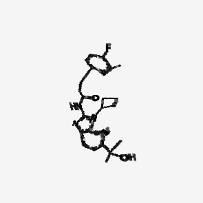 Cc1cc(CC(=O)Nc2nc3ccc(C(C)(C)O)nc3n2C2CCC2)ccc1F